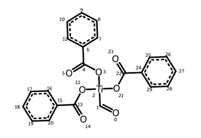 O=[CH][Ti]([O]C(=O)c1ccccc1)([O]C(=O)c1ccccc1)[O]C(=O)c1ccccc1